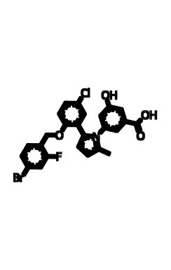 Cc1ccc(-c2cc(Cl)ccc2OCc2ccc(Br)cc2F)n1-c1cc(O)cc(C(=O)O)c1